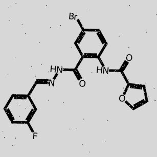 O=C(Nc1ccc(Br)cc1C(=O)NN=Cc1cccc(F)c1)c1ccco1